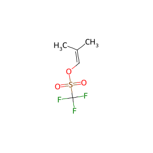 CC(C)=COS(=O)(=O)C(F)(F)F